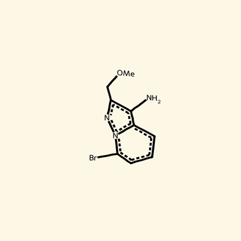 COCc1nn2c(Br)cccc2c1N